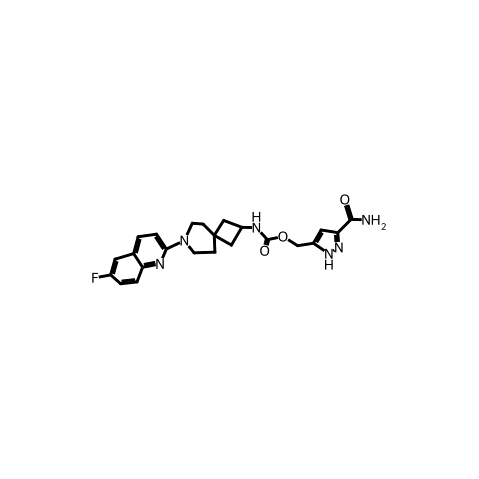 NC(=O)c1cc(COC(=O)NC2CC3(CCN(c4ccc5cc(F)ccc5n4)CC3)C2)[nH]n1